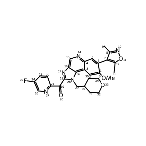 COc1cc2c(cc1-c1c(C)noc1C)ncc1nc(C(=O)c3ccc(F)cn3)n(CC3CCOCC3)c12